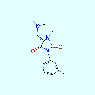 Cc1cccc(N2C(=O)/C(=C/N(C)C)N(C)C2=O)c1